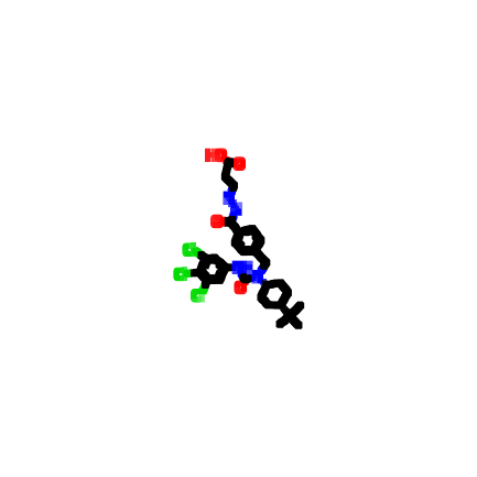 CC(C)(C)[C@H]1CC[C@H](N(Cc2ccc(C(=O)N=NCCC(=O)O)cc2)C(=O)Nc2cc(Cl)c(Cl)c(Cl)c2)CC1